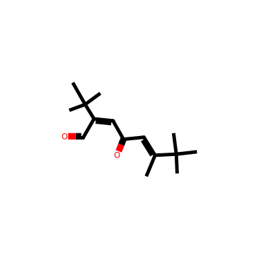 C/C(=C\C(=O)/C=C(\C=O)C(C)(C)C)C(C)(C)C